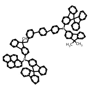 CC1(C)c2ccccc2-c2cc(N(c3ccc(-c4ccc(-c5cccc(CC6(C)c7ccccc7-c7cc(N(c8ccc9c(c8)C8(c%10ccccc%10-c%10ccccc%108)c8ccccc8-9)c8ccc9ccc%10cccc%11ccc8c9c%10%11)ccc76)c5)cc4)cc3)c3ccc4c(c3)C3(c5ccccc5-c5ccccc53)c3ccccc3-4)ccc21